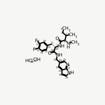 CCC(C)[C@@H](NC)C(=O)N[C@@H](Cc1ccc(F)c(F)c1)C(=O)NCc1cnc2[nH]ccc2c1.Cl.Cl